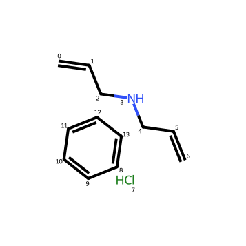 C=CCNCC=C.Cl.c1ccccc1